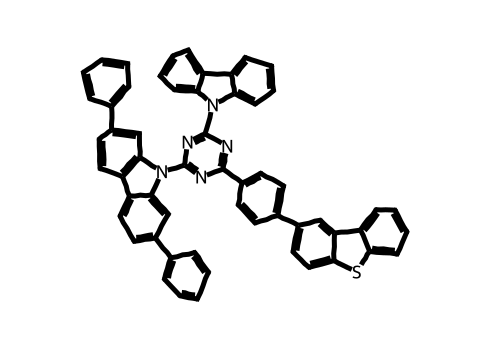 c1ccc(-c2ccc3c4ccc(-c5ccccc5)cc4n(-c4nc(-c5ccc(-c6ccc7sc8ccccc8c7c6)cc5)nc(-n5c6ccccc6c6ccccc65)n4)c3c2)cc1